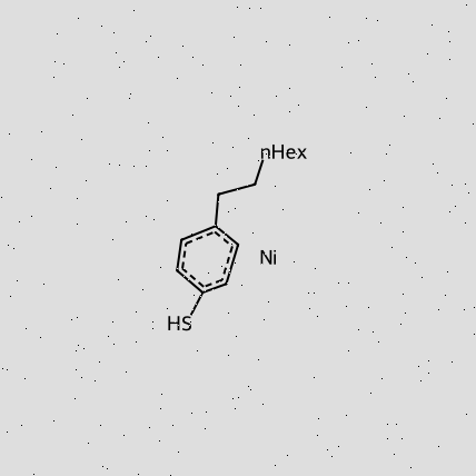 CCCCCCCCc1ccc(S)cc1.[Ni]